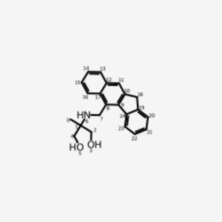 CC(CO)(CO)NCc1c2c(cc3ccccc13)Cc1ccccc1-2